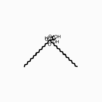 CCCCCCCCC=CCCCCCCCC(=O)C(O)(C(=O)CCCCCCCC=CCCCCCCCC)C(O)(CO)C(C)=O